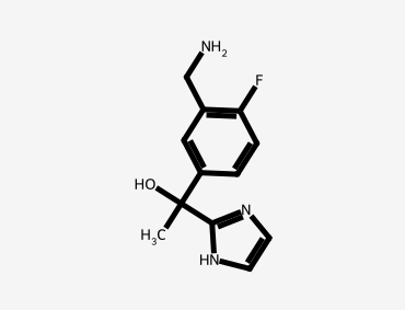 CC(O)(c1ccc(F)c(CN)c1)c1ncc[nH]1